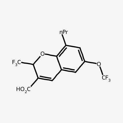 CCCc1cc(OC(F)(F)F)cc2c1OC(C(F)(F)F)C(C(=O)O)=C2